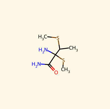 CSC(C)C(N)(SC)C(N)=O